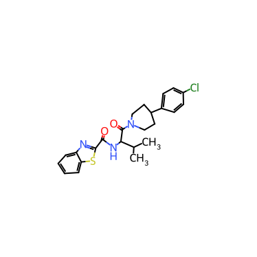 CC(C)C(NC(=O)c1nc2ccccc2s1)C(=O)N1CCC(c2ccc(Cl)cc2)CC1